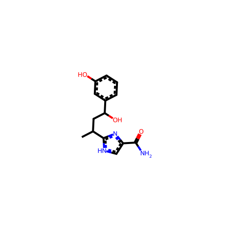 CC(CC(O)c1cccc(O)c1)c1nc(C(N)=O)c[nH]1